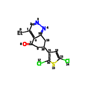 CCc1cnnc2c1C(=O)CC(c1cc(Cl)sc1Cl)C2